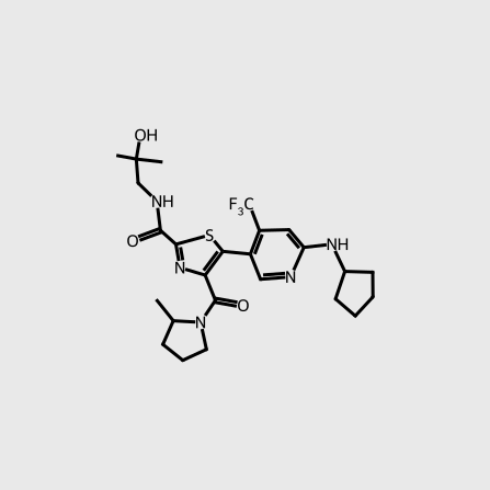 CC1CCCN1C(=O)c1nc(C(=O)NCC(C)(C)O)sc1-c1cnc(NC2CCCC2)cc1C(F)(F)F